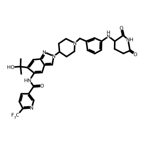 CC(C)(O)c1cc2nn(C3CCN(Cc4cccc(NC5CCC(=O)NC5=O)c4)CC3)cc2cc1NC(=O)c1ccc(C(F)(F)F)nc1